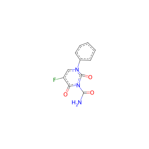 NC(=O)n1c(=O)c(F)cn(-c2ccccc2)c1=O